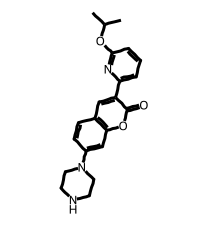 CC(C)Oc1cccc(-c2cc3ccc(N4CCNCC4)cc3oc2=O)n1